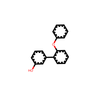 Oc1cccc(-c2ccc[c]c2Oc2ccccc2)c1